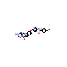 Cn1c(C(=O)N2CCNCC2)cc2ccc(Oc3ccc(NC(=O)c4ccc(C(F)(F)F)cc4)cn3)cc21